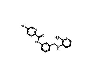 N#Cc1cnc(C(=O)Nc2cccc(CNc3cccnc3N)c2)nc1